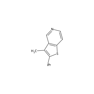 Cc1c(C(C)C)sc2ccncc12